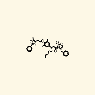 C=CCCOC(CC(=O)N1C(=O)OC[C@@H]1Cc1ccccc1)c1cc(C)c(OCCc2nc(-c3ccccc3)oc2C)c(C)c1